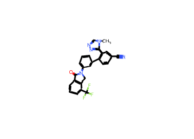 Cn1cnnc1-c1cc(C#N)ccc1-c1cccc(N2Cc3c(cccc3C(F)(F)F)C2=O)c1